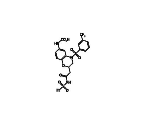 CCS(=O)(=O)NC(=O)CC1CN(S(=O)(=O)c2cccc(C(F)(F)F)c2)c2cc(NC(=O)O)ccc2O1